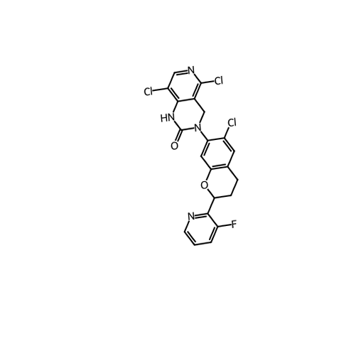 O=C1Nc2c(Cl)cnc(Cl)c2CN1c1cc2c(cc1Cl)CCC(c1ncccc1F)O2